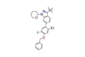 CCc1cc(OCc2ccccc2)c(F)cc1-c1ccc2[c]([Sn]([CH3])([CH3])[CH3])nn(C3CCCCO3)c2c1